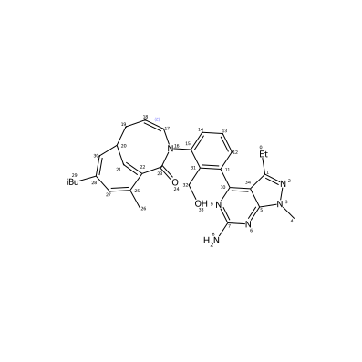 CCc1nn(C)c2nc(N)nc(-c3cccc(N4/C=C\CC5C=C(C4=O)C(C)=CC(C(C)CC)=C5)c3CO)c12